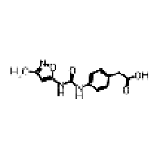 Cc1cc(NC(=O)Nc2ccc(CC(=O)O)cc2)on1